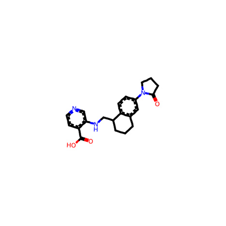 O=C(O)c1ccncc1NCC1CCCc2cc(N3CCCC3=O)ccc21